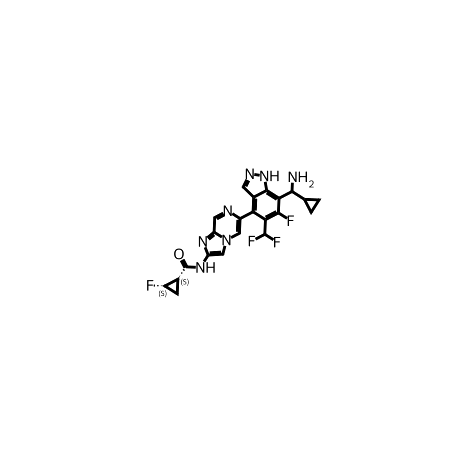 NC(c1c(F)c(C(F)F)c(-c2cn3cc(NC(=O)[C@@H]4C[C@@H]4F)nc3cn2)c2cn[nH]c12)C1CC1